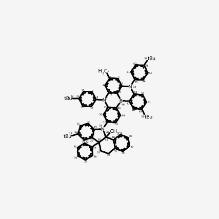 Cc1cc2c3c(c1)N(c1ccc(C(C)(C)C)cc1)c1cc(N4c5ccc(C(C)(C)C)cc5C5(c6ccccc6)CCc6ccccc6C45C)ccc1B3c1cc(C(C)(C)C)ccc1N2c1ccc(C(C)(C)C)cc1